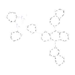 IN1c2ccccc2N(c2ccccc2)C1c1ccc(-c2ccc3c(-c4ccc5ccccc5c4)c4ccccc4c(-c4ccc5ccccc5c4)c3c2)cc1